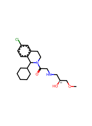 COC[C@@H](O)CNCC(=O)N1CCc2cc(Cl)ccc2C1C1CCCCC1